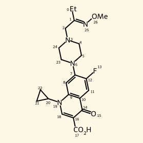 CCC(CN1CCN(c2cc3c(cc2F)c(=O)c(C(=O)O)cn3C2CC2)CC1)=NOC